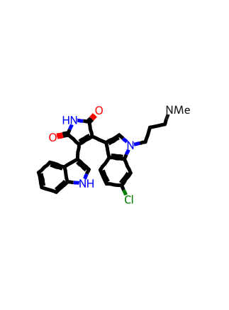 CNCCCn1cc(C2=C(c3c[nH]c4ccccc34)C(=O)NC2=O)c2ccc(Cl)cc21